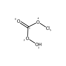 O=C(OO)OCl